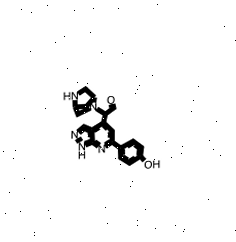 O=CC(c1cc(-c2ccc(O)cc2)nc2[nH]ncc12)N1CC2CC1CN2